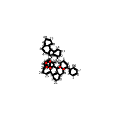 c1ccc(-c2ccc(N(c3ccccc3-c3cccc4cccc(-c5ccccc5)c34)c3cccc4c5c6ccccc6ccc5n(-c5ccccc5)c34)cc2)cc1